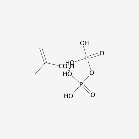 C=C(C)C(=O)O.O=P(O)(O)OP(=O)(O)O